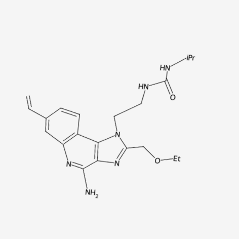 C=Cc1ccc2c(c1)nc(N)c1nc(COCC)n(CCNC(=O)NC(C)C)c12